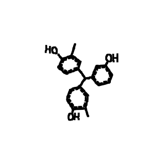 Cc1cc(C(c2cccc(O)c2)c2ccc(O)c(C)c2)ccc1O